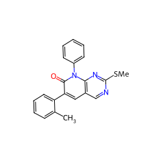 CSc1ncc2cc(-c3ccccc3C)c(=O)n(-c3ccccc3)c2n1